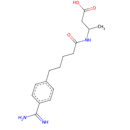 CC(CC(=O)O)NC(=O)CCCCc1ccc(C(=N)N)cc1